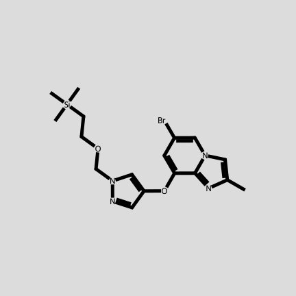 Cc1cn2cc(Br)cc(Oc3cnn(COCC[Si](C)(C)C)c3)c2n1